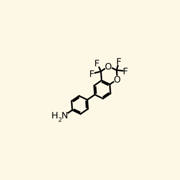 Nc1ccc(-c2ccc3c(c2)C(F)(F)OC(F)(F)O3)cc1